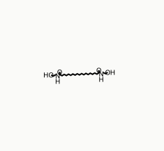 O=C(CCCCCCCCCCCCCCCCCC(=O)NCCO)NCCO